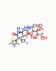 O=C[C@H](Nc1ccc2c(C(F)(F)F)c(-c3cccs3)c(=O)[nH]c2c1)[C@@H](O)[C@H](O)[C@H](O)CO